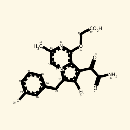 CCc1c(C(=O)C(N)=O)c2c(OCC(=O)O)nc(C)cn2c1Cc1cccc(F)c1